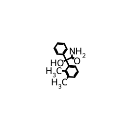 Cc1cccc(C(O)(C(N)=O)c2ccccc2)c1C